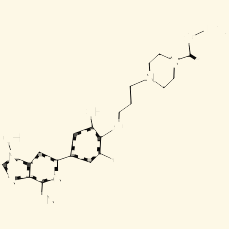 Cn1cnc2c(C#N)nc(-c3cc(Cl)c(OCCCN4CCN(C(=O)OC(C)(C)C)CC4)c(C(F)(F)F)c3)cc21